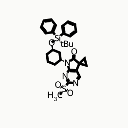 CC(C)(C)[Si](O[C@@H]1CCC[C@@H](N2C(=O)C3(CC3)c3cnc(S(C)(=O)=O)nc32)C1)(c1ccccc1)c1ccccc1